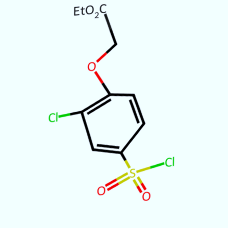 CCOC(=O)COc1ccc(S(=O)(=O)Cl)cc1Cl